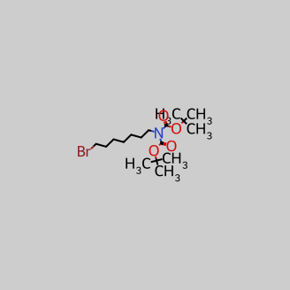 CC(C)(C)OC(=O)N(CCCCCCCBr)C(=O)OC(C)(C)C